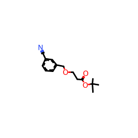 CC(C)(C)OC(=O)CCOCc1cccc(C#N)c1